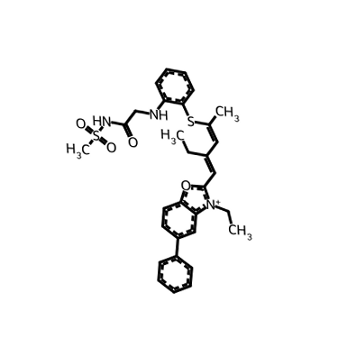 CCC(/C=C(/C)Sc1ccccc1NCC(=O)NS(C)(=O)=O)=C\c1oc2ccc(-c3ccccc3)cc2[n+]1CC